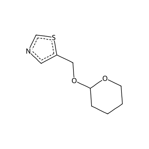 c1ncc(COC2CCCCO2)s1